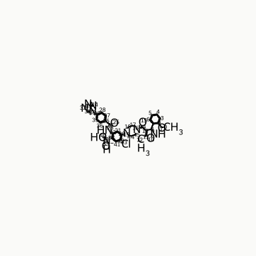 COc1ccccc1C1NOC(C)=C1C(=O)N1CCN(c2cc(NC(=O)c3ccc(-n4cnnn4)cc3)c([NH+]([O-])O)cc2Cl)CC1